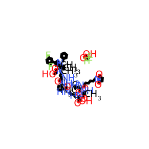 CC(C)[C@H](NC(=O)CCCCCN1C(=O)C=CC1=O)C(=O)N[C@@H](C)C(=O)N[C@@H](CCCCNC(=O)[C@@H]1CCC[C@@H]1NC(=O)[C@@H](N)CCN(C(=O)CO)[C@@H](c1cc(-c2cc(F)ccc2F)cn1Cc1ccccc1)C(C)(C)C)C(=O)O.O=C(O)C(F)(F)F